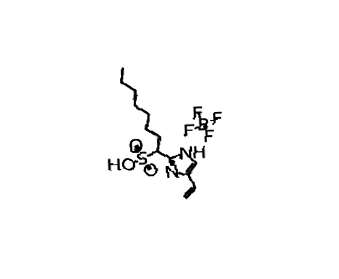 C=Cc1c[nH]c(C(CCCCCCC)S(=O)(=O)O)n1.F[B-](F)(F)F